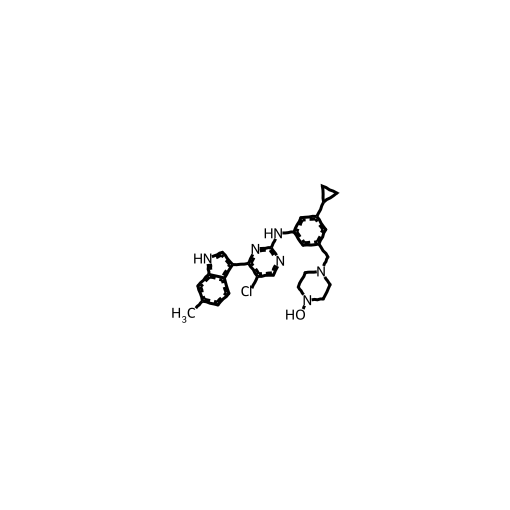 Cc1ccc2c(-c3nc(Nc4cc(CN5CCN(O)CC5)cc(C5CC5)c4)ncc3Cl)c[nH]c2c1